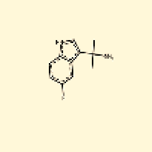 CC(C)(N)c1c[nH]c2ccc(F)cc12